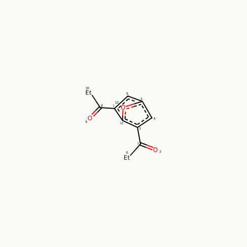 CCC(=O)c1cc2cc(C(=O)CC)c1o2